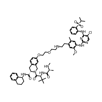 CN[C@@H](C)C(=O)N[C@H](C(=O)N1Cc2cc(OCCOCCNCCc3cc(OC)c(Nc4ncc(Cl)c(Nc5ccccc5S(=O)(=O)C(C)C)n4)cc3C)ccc2C[C@H]1C(=O)N[C@H]1CCCc2ccccc21)C(C)(C)C